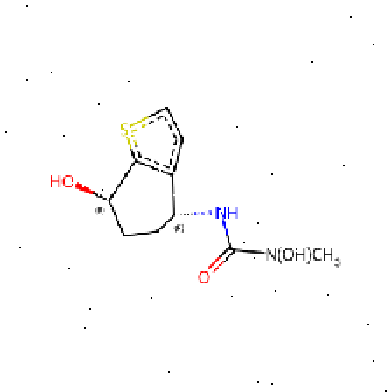 CN(O)C(=O)N[C@@H]1CC[C@@H](O)c2sccc21